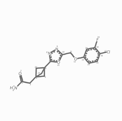 NC(=O)CC12CC(c3nnc(COc4ccc(Cl)c(F)c4)o3)(C1)C2